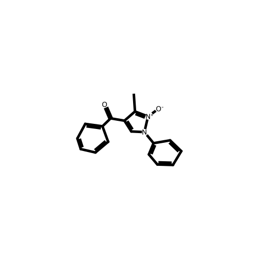 Cc1c(C(=O)c2ccccc2)cn(-c2ccccc2)[n+]1[O-]